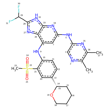 Cc1ncc(Nc2cc(Nc3ccc([C@@H]4CCCCO4)cc3S(C)(=O)=O)c3nc(C(F)F)[nH]c3n2)nc1C